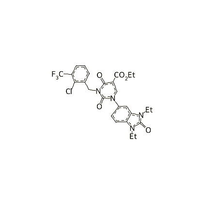 CCOC(=O)c1cn(-c2ccc3c(c2)n(CC)c(=O)n3CC)c(=O)n(Cc2cccc(C(F)(F)F)c2Cl)c1=O